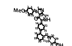 COc1ccc(-n2cnc3c2C(=O)C(c2ccc(-c4ccccc4CN4CCC(O)CC4)cc2)NC3)cc1